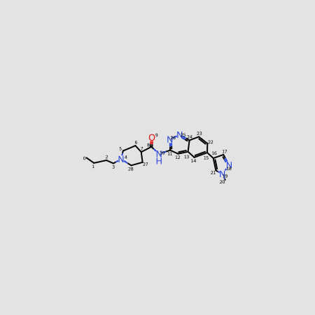 CCCCN1CCC(C(=O)Nc2cc3cc(-c4cnn(C)c4)ccc3nn2)CC1